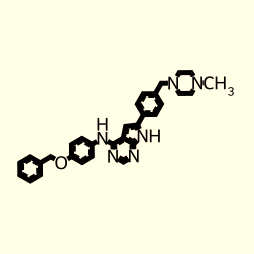 CN1CCN(Cc2ccc(-c3cc4c(Nc5ccc(OCc6ccccc6)cc5)ncnc4[nH]3)cc2)CC1